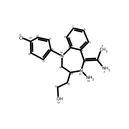 C/C(N)=C1\c2ccccc2N(c2ccc(Cl)cc2)CC(CCO)N1N